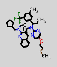 CCC(c1cc(C)cc(C(F)(F)F)c1)N(Cc1cc2ccccc2nc1N(CC)CC1CCCC1)c1ncc(OCCSC)cn1